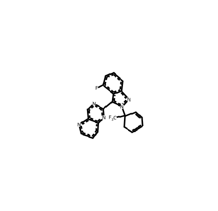 Fc1cccc2nn(C3(C(F)(F)F)C=CC=CC3)c(-c3ncc4ncccc4n3)c12